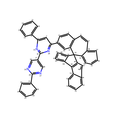 C1=Cc2ccc(-c3cc(-c4ccccc4)nc(-c4cnc(-c5ccccc5)nc4)n3)cc2C2(c3ccccc31)c1ccccc1-c1c2ccc2ccccc12